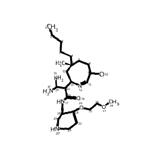 CCCCC[C@]1(C)CCC(Cl)/C=N\C(C(C(=O)NC2CNCCC2OCCOC)C(N)N)C1